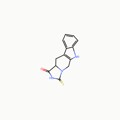 O=C1NC(=S)N2Cc3[nH]c4ccccc4c3CC12